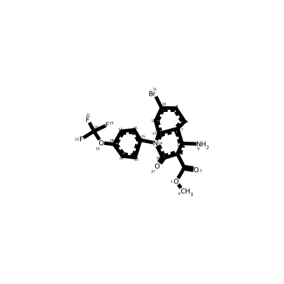 COC(=O)c1c(N)c2ccc(Br)cc2n(-c2ccc(OC(F)(F)F)cc2)c1=O